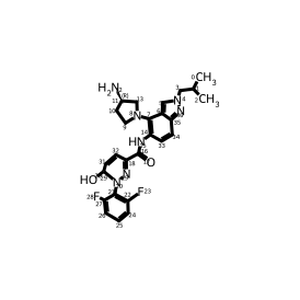 CC(C)Cn1cc2c(N3CC[C@@H](N)C3)c(NC(=O)C3=NN(c4c(F)cccc4F)C(O)C=C3)ccc2n1